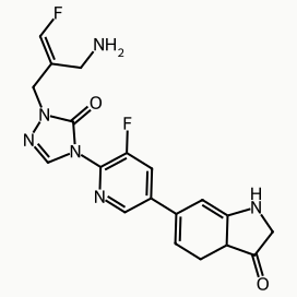 NC/C(=C\F)Cn1ncn(-c2ncc(C3=CCC4C(=O)CNC4=C3)cc2F)c1=O